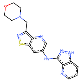 c1cnc2c(Nc3cnc4c(CN5CCOCC5)nsc4c3)n[nH]c2c1